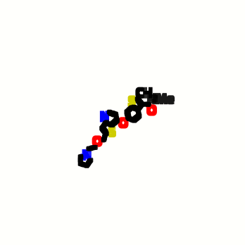 CNC(=O)c1c(C)sc2cc(Oc3ccnc4cc(COCCN5CCCC5)sc34)ccc12